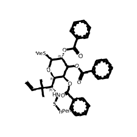 C=CC(C)(C)[C@@H](NSCCCCC)[C@H]1OC(SC)[C@H](OC(=O)c2ccccc2)C(OC(=O)c2ccccc2)C1OC(=O)c1ccccc1